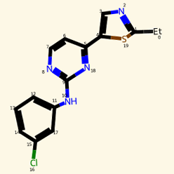 CCc1ncc(-c2ccnc(Nc3cccc(Cl)c3)n2)s1